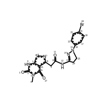 Cn1c(=O)[nH]c2snc(CC(=O)NC3=NN(c4ccc(Br)cc4)CC3)c2c1=O